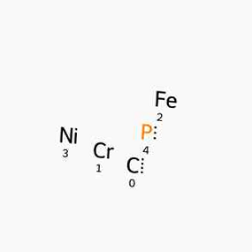 [C].[Cr].[Fe].[Ni].[P]